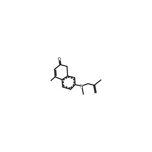 C=C(C)CN(C)c1ccc2c(c1)CC(=O)C=C2C